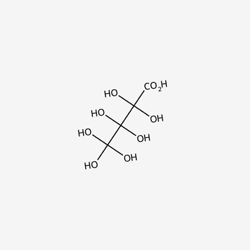 O=C(O)C(O)(O)C(O)(O)C(O)(O)O